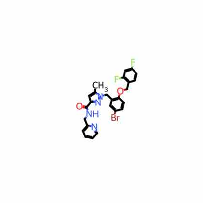 Cc1cc(C(=O)NCc2ccccn2)nn1Cc1cc(Br)ccc1OCc1ccc(F)cc1F